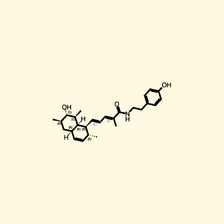 C/C(=C\C=C\[C@@H]1[C@@H]2[C@H](C)[C@@H](O)[C@H](C)C[C@@H]2C=C[C@H]1C)C(=O)NCCc1ccc(O)cc1